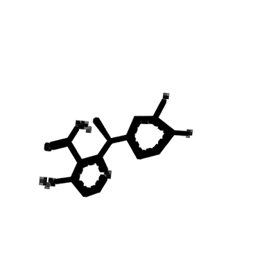 C[C@@H](c1ccc(F)c(F)c1)c1nccc(N)c1C(N)=O